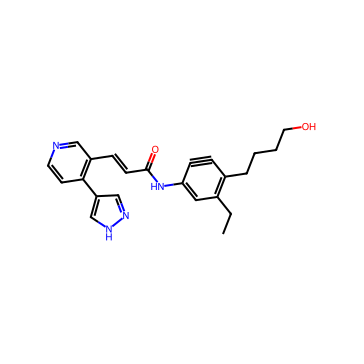 CCc1cc(NC(=O)/C=C/c2cnccc2-c2cn[nH]c2)c#cc1CCCCO